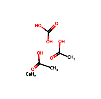 CC(=O)O.CC(=O)O.O=C(O)O.[CaH2]